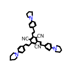 N#Cc1c(/C=C/c2ccc(N3CCCCC3)cc2)c(C#N)c(/C=C/c2ccc(N3CCCCC3)cc2)c(C#N)c1/C=C/c1ccc(N2CCCCC2)cc1